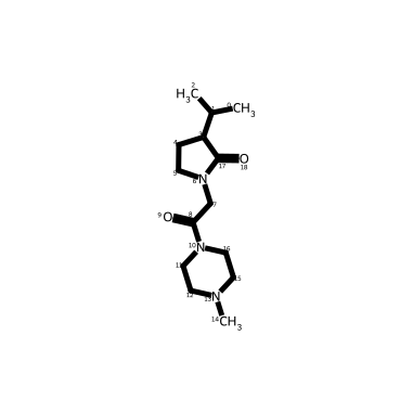 CC(C)C1CCN(CC(=O)N2CCN(C)CC2)C1=O